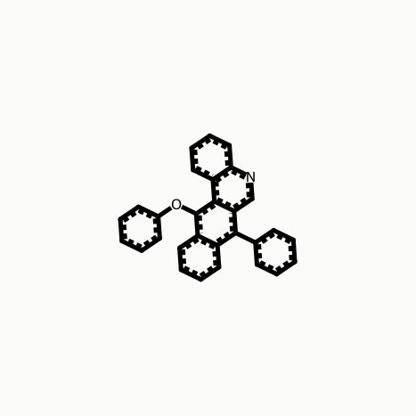 c1ccc(Oc2c3ccccc3c(-c3ccccc3)c3cnc4ccccc4c23)cc1